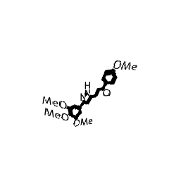 COc1ccc(C(=O)/C=C/c2cc(-c3cc(OC)c(OC)c(OC)c3)n[nH]2)cc1